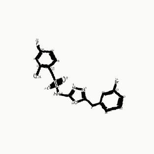 O=S(=O)(Nc1nnc(Cc2cccc(Br)c2)o1)c1ccc(F)cc1Cl